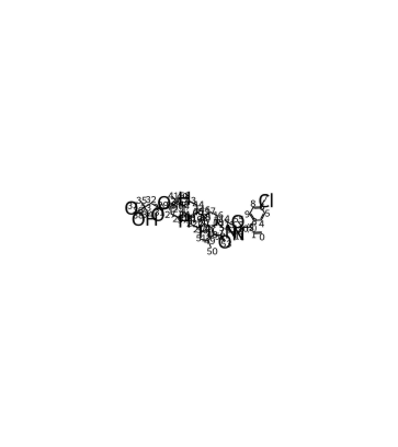 C=C[C@@H](c1ccc(Cl)cc1)c1nnc(C[C@@]23CC[C@]4(C)[C@H](CC[C@@H]5[C@@]6(C)CC[C@H](OC(=O)CC(C)(C)C(=O)O)C(C)(C)[C@@H]6CC[C@]54C)C2=C(C(C)C)C(=O)C3)o1